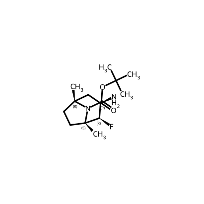 CC(C)(C)OC(=O)N1[C@]2(C)CC[C@@]1(C)[C@H](F)[C@H](N)C2